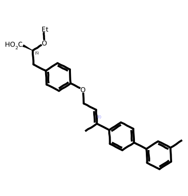 CCO[C@@H](Cc1ccc(OC/C=C(\C)c2ccc(-c3cccc(C)c3)cc2)cc1)C(=O)O